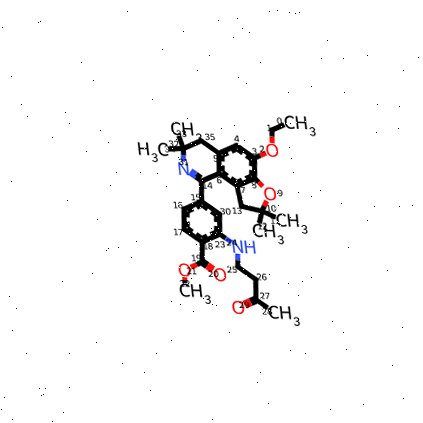 CCOc1cc2c(c3c1OC(C)(C)C3)C(c1ccc(C(=O)OC)c(NCCC(C)=O)c1)=NC(C)(C)C2